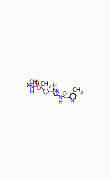 Cc1ccnc(CC(=O)Nc2cc([C@H]3CCC(C(C)OC(=O)NC4(C)CC4)C3)[nH]n2)c1